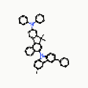 Cc1ccc2c(c1)c1cc(-c3ccccc3)ccc1n2-c1cc2c(c3ccccc13)-c1ccc(N(c3ccccc3)c3ccccc3)cc1C2(C)C